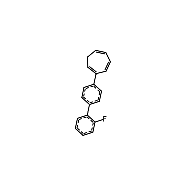 Fc1ccccc1-c1ccc(C2=CCC=CC=C2)cc1